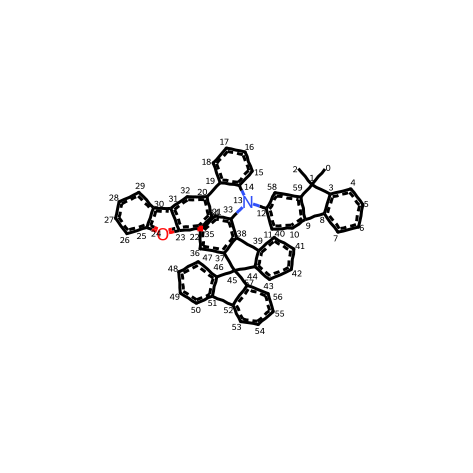 CC1(C)c2ccccc2-c2ccc(N(c3ccccc3-c3ccc4oc5ccccc5c4c3)c3cccc4c3-c3ccccc3C43c4ccccc4-c4ccccc43)cc21